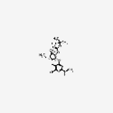 CC[C@H]1C[C@@H](Nc2nc(NC)nc(Cl)c2I)[C@H](OC(=O)OC(C)(C)C)[C@@H]1C